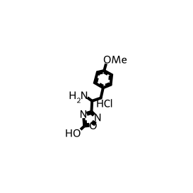 COc1ccc(CC(N)c2noc(O)n2)cc1.Cl